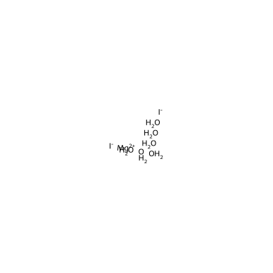 O.O.O.O.O.O.[I-].[I-].[Mg+2]